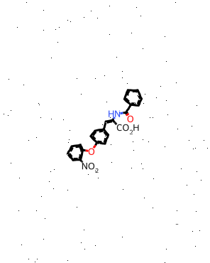 O=C(O)/C(=C\c1ccc(Oc2ccccc2[N+](=O)[O-])cc1)NC(=O)c1ccccc1